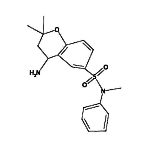 CN(c1ccccc1)S(=O)(=O)c1ccc2c(c1)C(N)CC(C)(C)O2